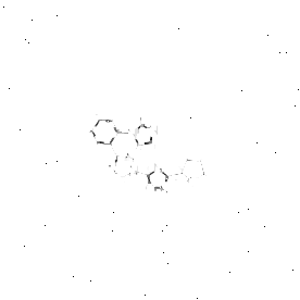 Fc1ncc2n1-c1ccccc1C1=NCN(c3nc(C4CCCO4)no3)N12